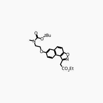 CCOC(=O)Cc1noc2ccc3cc(OCCN(C)C(=O)OC(C)(C)C)ccc3c12